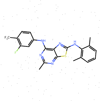 Cc1nc(Nc2ccc(C(F)(F)F)c(F)c2)c2nc(Nc3c(C)cccc3C)sc2n1